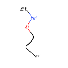 [CH2]CNOCCC(C)C